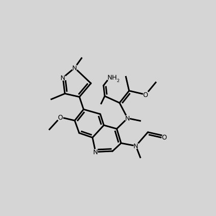 CO/C(C)=C(/C(C)=C\N)N(C)c1c(N(C)C=O)cnc2cc(OC)c(-c3cn(C)nc3C)cc12